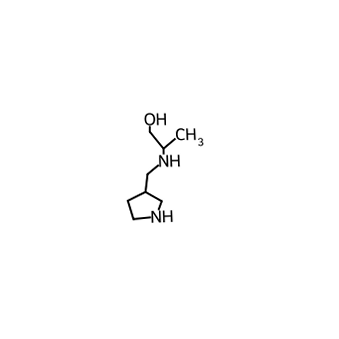 CC(CO)NCC1CCNC1